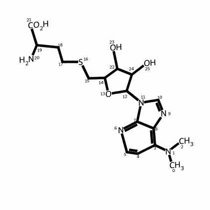 CN(C)c1ccnc2c1ncn2C1OC(CSCCC(N)C(=O)O)C(O)C1O